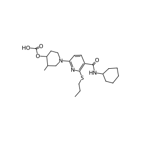 CCCSc1nc(N2CCC(OC(=O)O)C(C)C2)ccc1C(=O)NC1CCCCC1